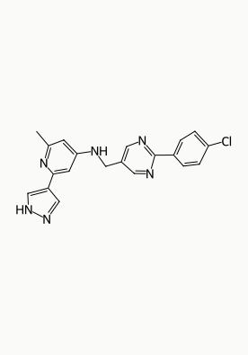 Cc1cc(NCc2cnc(-c3ccc(Cl)cc3)nc2)cc(-c2cn[nH]c2)n1